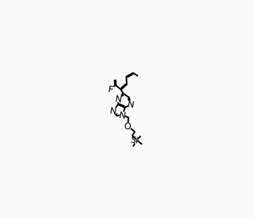 C=C(F)/C(=C\C=C/C)c1cnc2c(ncn2COCC[Si](C)(C)C)n1